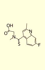 Cc1cc(C(=S)N(C)CC(=O)O)c2ccc(F)cc2n1